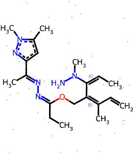 C=C/C(C)=C(COC(CC)=NN=C(C)c1cc(C)n(C)n1)\C(=C/C)N(C)N